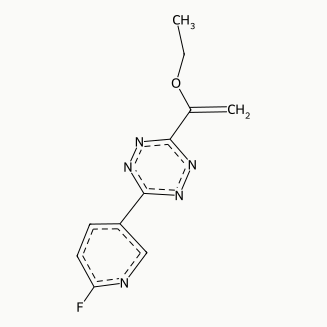 C=C(OCC)c1nnc(-c2ccc(F)nc2)nn1